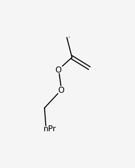 [CH2]C(=C)OOCCCC